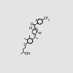 Cc1c(OCC[C@H](C)O)ccc([C@H](C)N2C[C@@H]3C[C@H]2CN3C(=O)c2ccc(C(F)(F)F)cn2)c1C